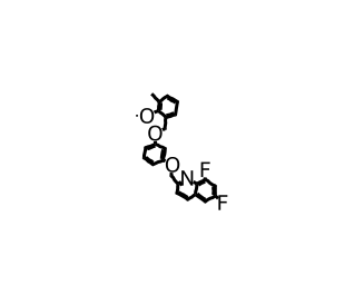 Cc1cccc(COc2cccc(OCc3ccc4cc(F)cc(F)c4n3)c2)c1[O]